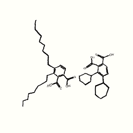 CCCCCCCCc1ccc(C(=O)O)c(C(=O)O)c1CCCCCCCC.O=C(O)c1ccc(C2CCCCC2)c(C2CCCCC2)c1C(=O)O